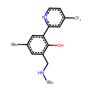 CC(C)(C)NCc1cc(C(C)(C)C)cc(-c2cc(C(F)(F)F)ccn2)c1O